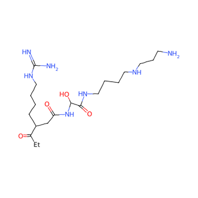 CCC(=O)C(CCCCNC(=N)N)CC(=O)NC(O)C(=O)NCCCCNCCCN